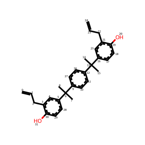 C=CCc1cc(C(C)(C)c2ccc(C(C)(C)c3ccc(O)c(CC=C)c3)cc2)ccc1O